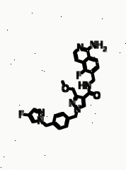 COCc1nn(Cc2ccc(Cn3cc(F)cn3)cc2)cc1C(=O)NCc1ccc2c(N)nccc2c1F